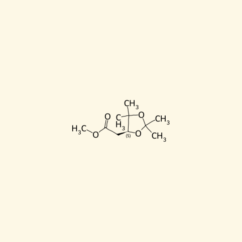 COC(=O)C[C@@H]1OC(C)(C)OC1(C)C